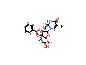 [2H]c1cn([C@@H]2O[C@H](C([2H])([2H])O)[C@H]3OC(c4ccccc4)O[C@H]32)c(=O)[nH]c1=O